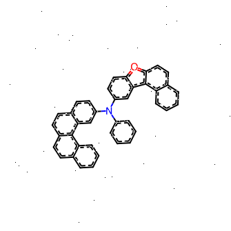 c1ccc(N(c2ccc3ccc4ccc5ccccc5c4c3c2)c2ccc3oc4ccc5ccccc5c4c3c2)cc1